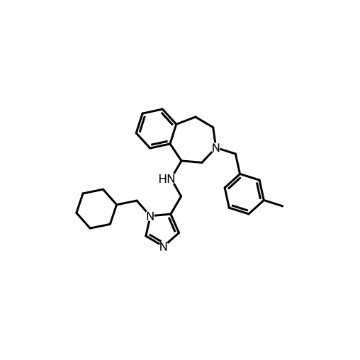 Cc1cccc(CN2CCc3ccccc3C(NCc3cncn3CC3CCCCC3)C2)c1